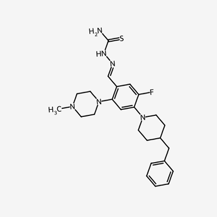 CN1CCN(c2cc(N3CCC(Cc4ccccc4)CC3)c(F)cc2C=NNC(N)=S)CC1